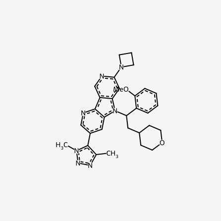 COc1ccccc1C(CC1CCOCC1)n1c2cc(N3CCC3)ncc2c2ncc(-c3c(C)nnn3C)cc21